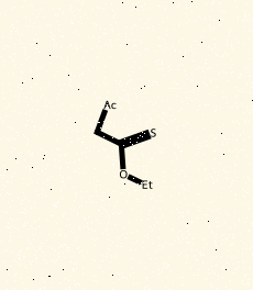 CCOC(=S)CC(C)=O